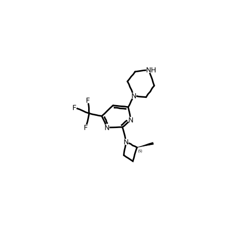 C[C@H]1CCN1c1nc(N2CCNCC2)cc(C(F)(F)F)n1